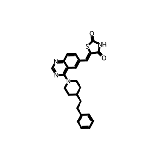 O=C1NC(=O)/C(=C/c2ccc3ncnc(N4CCC(CCc5ccccc5)CC4)c3c2)S1